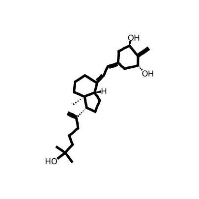 C=C1[C@H](O)CC(=C/C=C2\CCC[C@]3(C)[C@@H](C(=C)CCCC(C)(C)O)CC[C@@H]23)C[C@H]1O